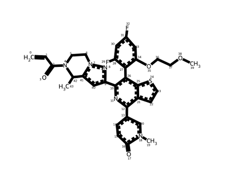 C=CC(=O)N1CCn2nc(-c3nc(-c4ccc(=O)n(C)c4)c4ccsc4c3-c3c(F)cc(F)cc3OCCOC)cc2C1C